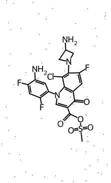 CS(=O)(=O)OC(=O)c1cn(-c2cc(N)c(F)cc2F)c2c(Cl)c(N3CC(N)C3)c(F)cc2c1=O